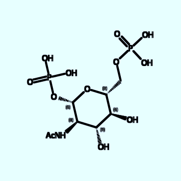 CC(=O)N[C@H]1[C@H](OP(=O)(O)O)O[C@H](COP(=O)(O)O)[C@@H](O)[C@@H]1O